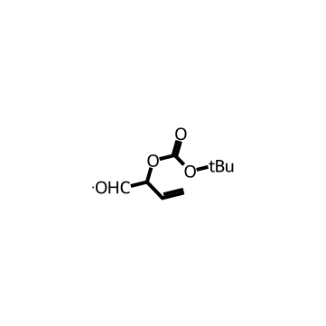 C=CC([C]=O)OC(=O)OC(C)(C)C